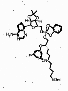 CCCCCCCCCCCCCCCCCC[C@@H](COP(=O)(OC[C@H]1O[C@@H](c2ccc3c(N)ncnn23)[C@@H]2OC(C)(C)O[C@@H]21)Oc1ccccc1Cl)Oc1cc(F)cc(C#N)c1